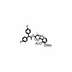 COc1ccnc(C(=O)N[C@@H](C)C(=O)OC(C)C(c2ccc(F)cc2)c2ccc(F)cc2)c1OC(C)=O